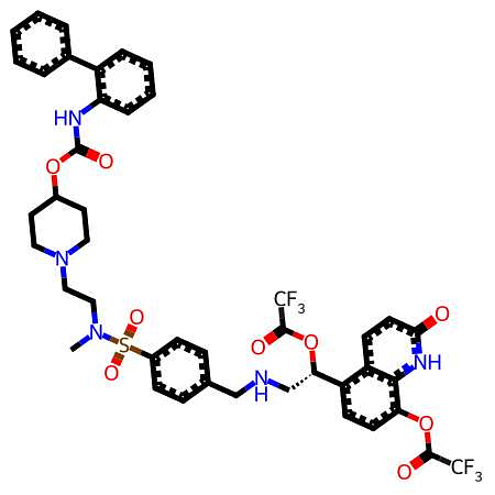 CN(CCN1CCC(OC(=O)Nc2ccccc2-c2ccccc2)CC1)S(=O)(=O)c1ccc(CNC[C@H](OC(=O)C(F)(F)F)c2ccc(OC(=O)C(F)(F)F)c3[nH]c(=O)ccc23)cc1